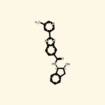 Cc1cncc(-c2nc3ccc(C(=O)N[C@@H]4c5ccccc5C[C@@H]4O)cc3s2)c1